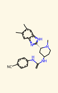 C=C(Nc1ccc(C#N)cc1)N[C@@H]1CCN(C)[C@@H](c2nc3cc(C)c(C)cc3[nH]2)C1